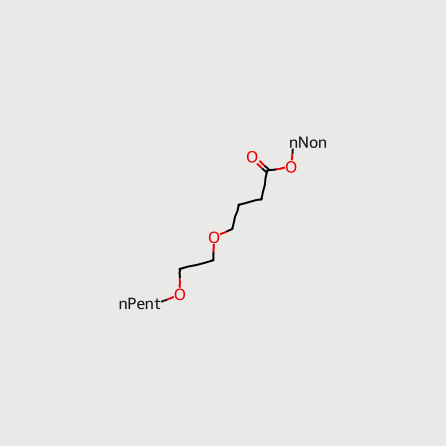 CCCCCCCCCOC(=O)CCCOCCOCCCCC